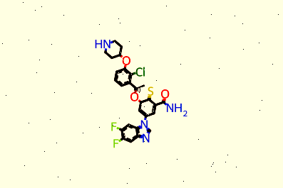 C[C@@H](OC1C=C(n2cnc3cc(F)c(F)cc32)C=C(C(N)=O)C1=S)c1cccc(OC2CCNCC2)c1Cl